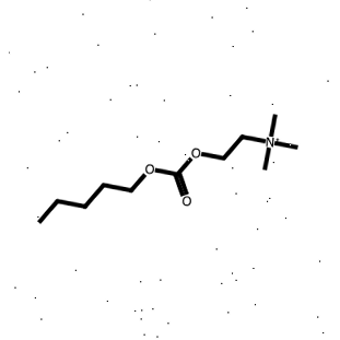 CCCCCOC(=O)OCC[N+](C)(C)C